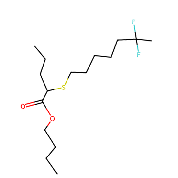 CCCCOC(=O)C(CCC)SCCCCCC(C)(F)F